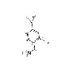 NCc1ccc(C2CC2)cc1F